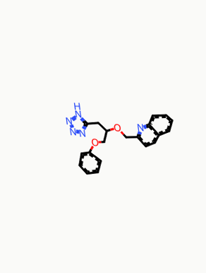 c1ccc(OCC(Cc2nnn[nH]2)OCc2ccc3ccccc3n2)cc1